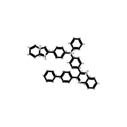 c1ccc(-c2ccc(-c3nc4ccccc4nc3-c3ccc(N(c4ccccc4)c4ccc(-c5cn6ccccc6n5)cc4)cc3)cc2)cc1